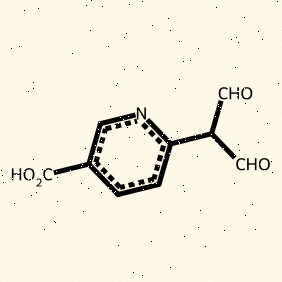 O=CC(C=O)c1ccc(C(=O)O)cn1